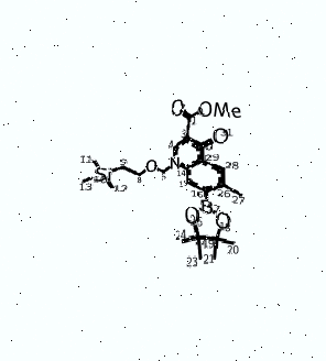 COC(=O)c1cn(COCC[Si](C)(C)C)c2cc(B3OC(C)(C)C(C)(C)O3)c(C)cc2c1=O